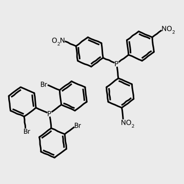 Brc1ccccc1P(c1ccccc1Br)c1ccccc1Br.O=[N+]([O-])c1ccc(P(c2ccc([N+](=O)[O-])cc2)c2ccc([N+](=O)[O-])cc2)cc1